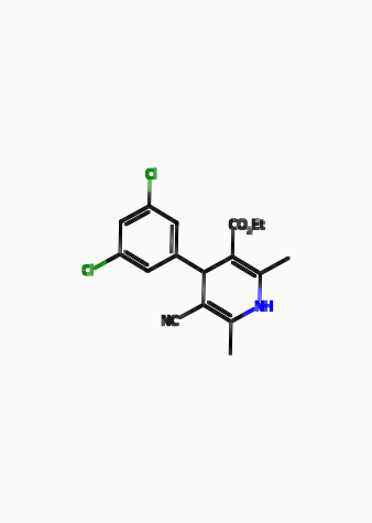 CCOC(=O)C1=C(C)NC(C)=C(C#N)C1c1cc(Cl)cc(Cl)c1